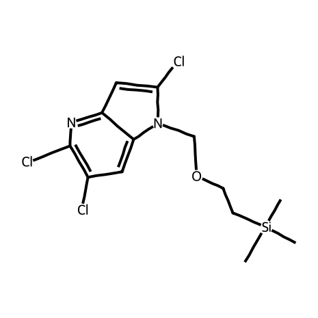 C[Si](C)(C)CCOCn1c(Cl)cc2nc(Cl)c(Cl)cc21